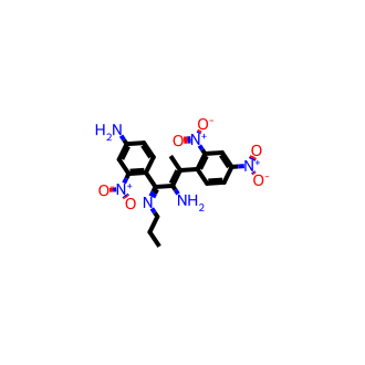 CCC/N=C(\C(N)=C(/C)c1ccc([N+](=O)[O-])cc1[N+](=O)[O-])c1ccc(N)cc1[N+](=O)[O-]